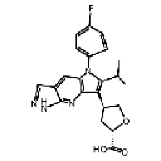 CC(C)c1c([C@H]2CO[C@H](C(=O)O)C2)c2nc3[nH]ncc3cc2n1-c1ccc(F)cc1